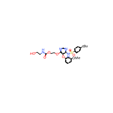 COc1cccc(Oc2c(NS(=O)(=O)c3ccc(C(C)(C)C)cc3)ncnc2OCCOC(=O)NCCO)c1